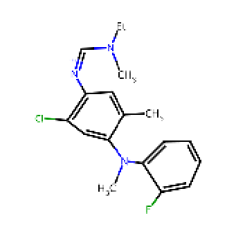 CCN(C)/C=N\c1cc(C)c(N(C)c2ccccc2F)cc1Cl